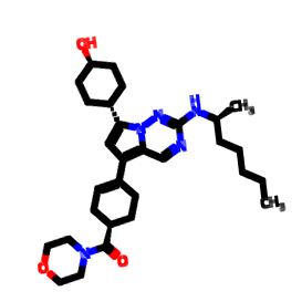 CCCCC[C@H](C)Nc1ncc2c(C3=CC[C@H](C(=O)N4CCOCC4)CC3)cc([C@H]3CC[C@H](O)CC3)n2n1